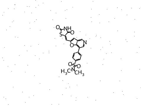 CN(C)S(=O)(=O)c1ccc(-c2cncc3cc(/C=C4/SC(=O)NC4=O)oc23)cc1